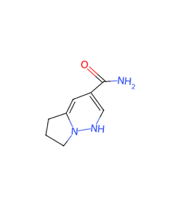 NC(=O)C1=CNN2CCCC2=C1